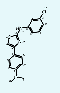 CN(C)c1ccc(-c2csc(Nc3cccc(Cl)c3)n2)cc1